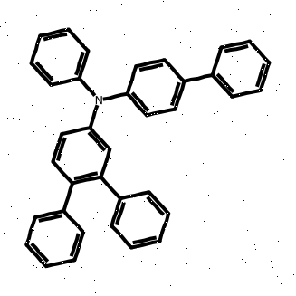 c1ccc(-c2ccc(N(c3ccccc3)c3ccc(-c4ccccc4)c(-c4ccccc4)c3)cc2)cc1